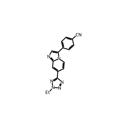 CCn1nnc(-c2ccn3c(-c4ccc(C#N)cc4)cnc3c2)n1